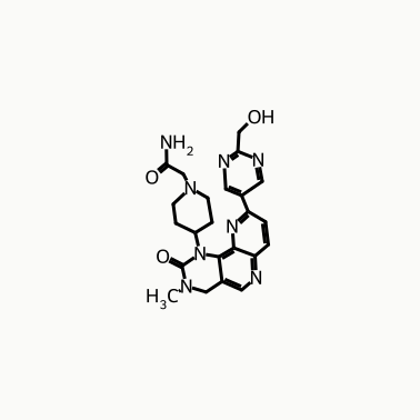 CN1Cc2cnc3ccc(-c4cnc(CO)nc4)nc3c2N(C2CCN(CC(N)=O)CC2)C1=O